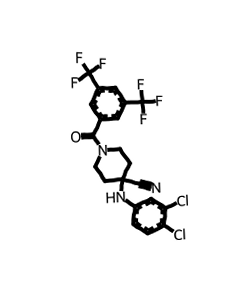 N#CC1(Nc2ccc(Cl)c(Cl)c2)CCN(C(=O)c2cc(C(F)(F)F)cc(C(F)(F)F)c2)CC1